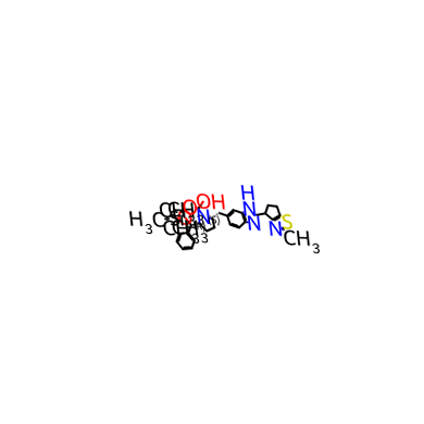 Cc1nc2c(s1)CCC2c1nc2ccc(C[C@@H]3CC[C@H](C(O[Si](C)(C)C(C)(C)C)c4ccccc4)N3C(=O)O)cc2[nH]1